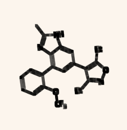 CCc1noc(CC)c1-c1cc(-c2ccccc2OC(F)(F)F)c2nc(C)[nH]c2c1